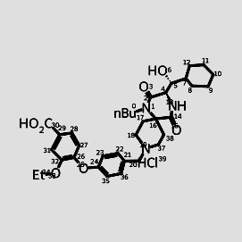 CCCCN1C(=O)[C@@H]([C@H](O)C2CCCCC2)NC(=O)C12CCN(Cc1ccc(Oc3ccc(C(=O)O)cc3OCC)cc1)CC2.Cl